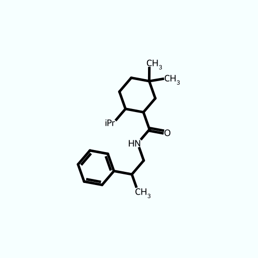 CC(CNC(=O)C1CC(C)(C)CCC1C(C)C)c1ccccc1